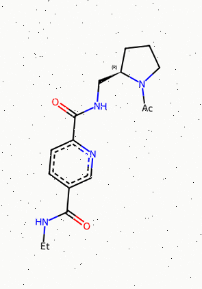 CCNC(=O)c1ccc(C(=O)NC[C@H]2CCCN2C(C)=O)nc1